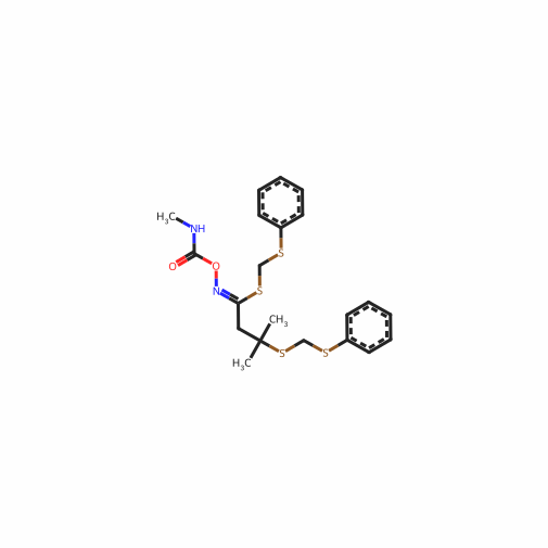 CNC(=O)ON=C(CC(C)(C)SCSc1ccccc1)SCSc1ccccc1